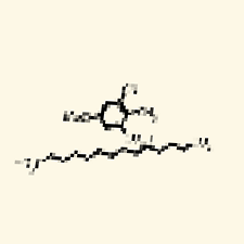 COc1cc(C#N)c(C)c(C(=O)O)c1.O=C(O)CCCCCCCCCCCCC(=O)O